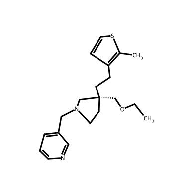 CCOC[C@]1(CCc2ccsc2C)CCN(Cc2cccnc2)C1